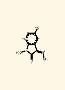 CN1C(=O)/C(=N\N)c2cc(Cl)cnc21